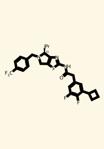 CC(C)[C@H]1c2nc(NC(=O)Cc3cc(F)c(F)c(C4CCC4)c3)sc2CN1Cc1ccc(C(F)(F)F)cc1